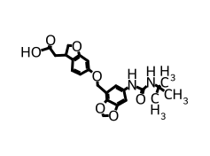 CC(C)(C)NC(=O)Nc1cc(COc2ccc3c(c2)OCC3CC(=O)O)c2c(c1)OCO2